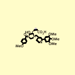 COc1ccc(C(=O)N2CCN(Cc3ccnc(-c4cc(OC)c(OC)c(OC)c4)c3)CC2)cc1.O=C(O)/C=C\C(=O)O